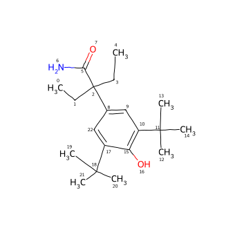 CCC(CC)(C(N)=O)c1cc(C(C)(C)C)c(O)c(C(C)(C)C)c1